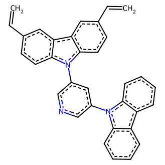 C=Cc1ccc2c(c1)c1cc(C=C)ccc1n2-c1cncc(-n2c3ccccc3c3ccccc32)c1